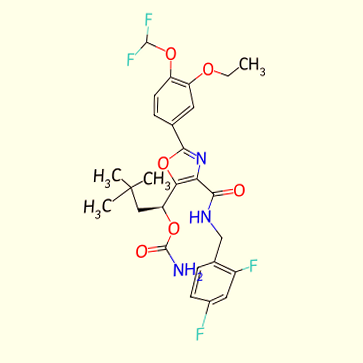 CCOc1cc(-c2nc(C(=O)NCc3ccc(F)cc3F)c([C@H](CC(C)(C)C)OC(N)=O)o2)ccc1OC(F)F